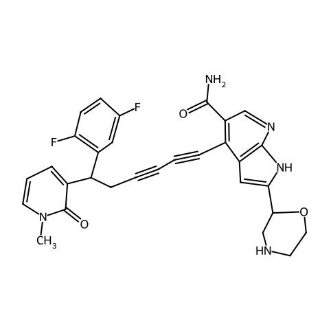 Cn1cccc(C(CC#CC#Cc2c(C(N)=O)cnc3[nH]c(C4CNCCO4)cc23)c2cc(F)ccc2F)c1=O